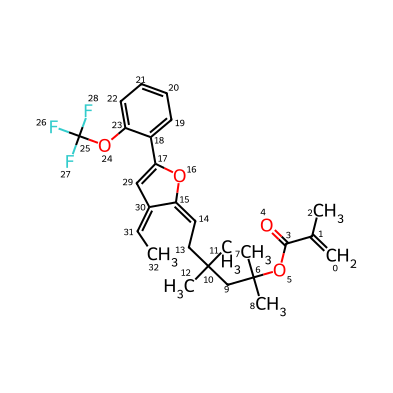 C=C(C)C(=O)OC(C)(C)CC(C)(C)C/C=c1/oc(-c2ccccc2OC(F)(F)F)c/c1=C/C